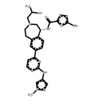 CC(O)CN1CCc2cc(-c3ccnc(Nc4cnn(C)c4)n3)ccc2[C@@H](NC(=O)c2nnc(C(C)(C)C)o2)C1